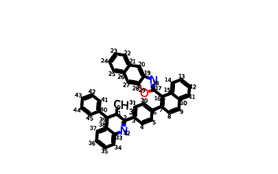 CC1C(c2ccc(-c3ccc4ccccc4c3-c3nc4cc5ccccc5cc4o3)cc2)=Nc2ccccc2C1c1ccccc1